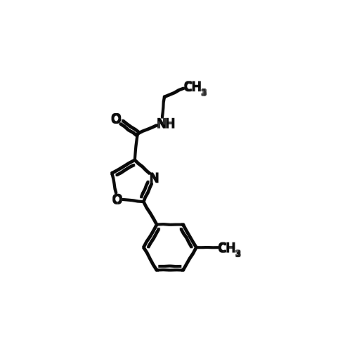 CCNC(=O)c1coc(-c2cccc(C)c2)n1